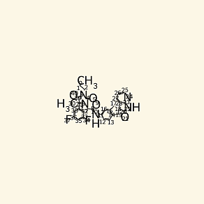 CCCN1C(=O)N(CC(=O)Nc2ccc3c(c2)C[C@@]2(C3)C(=O)Nc3ncccc32)C(C)(c2cc(F)cc(F)c2)C1=O